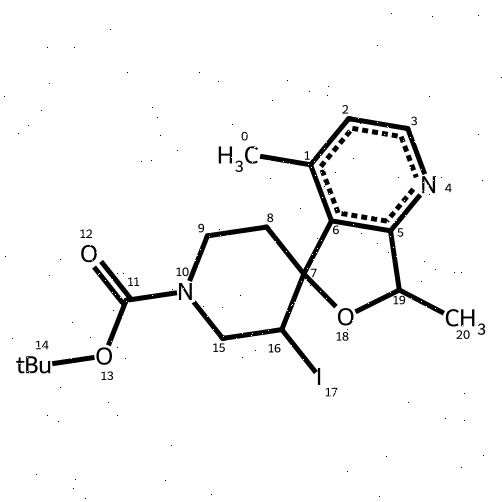 Cc1ccnc2c1C1(CCN(C(=O)OC(C)(C)C)CC1I)OC2C